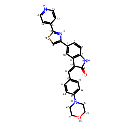 O=C1Nc2ccc(-c3csc(-c4ccncc4)n3)cc2/C1=C/c1ccc(N2CCOCC2)cc1